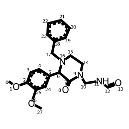 COc1ccc(C2C(=O)N(CNC=O)CCN2Cc2ccccc2)cc1OC